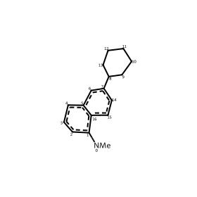 CNc1cccc2cc(C3CCCCC3)ccc12